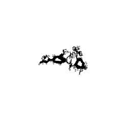 Cc1cc(-c2ccc(OC[C@H]3CC(F)(F)CC[C@@H]3NS(C)(=O)=O)c(F)c2)no1